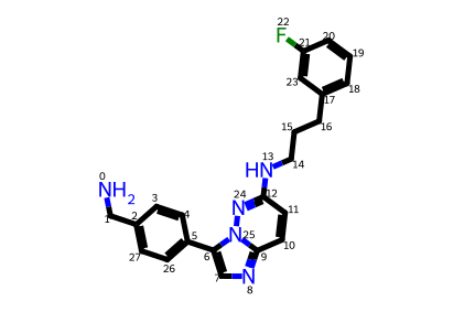 NCc1ccc(-c2cnc3ccc(NCCCc4cccc(F)c4)nn23)cc1